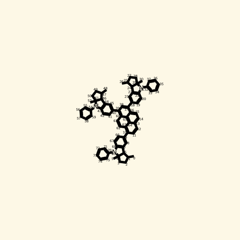 CC1CCC2(C)C1c1cc(-c3ccc4ccc5c(-c6ccc7c(c6)C6C(C)CCC6(C)N7c6ccccc6)cc(-c6ccc7c(c6)C6C(C)CCC6(C)N7c6ccccc6)c6ccc3c4c56)ccc1N2c1ccccc1